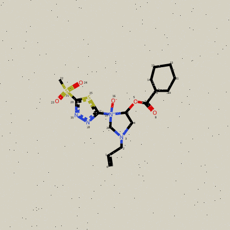 C=CCN1CC(OC(=O)C2CCCCC2)[N+]([O-])(c2nnc(S(C)(=O)=O)s2)C1